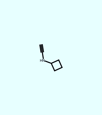 C#CNC1CCC1